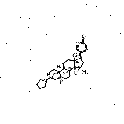 C[C@]12CCC(N3CCCC3)C[C@H]1CC[C@@H]1[C@@H]2CC[C@]2(C)[C@@H](c3ccc(=O)oc3)C[C@H]3O[C@]132